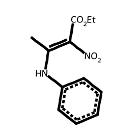 CCOC(=O)C(=C(C)Nc1ccccc1)[N+](=O)[O-]